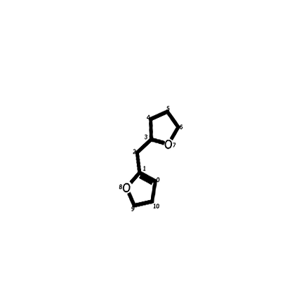 C1=C(CC2CCCO2)OCC1